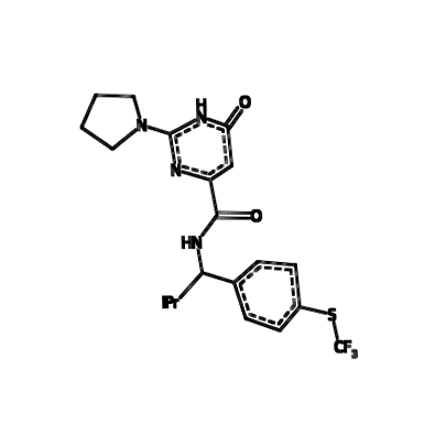 CC(C)C(NC(=O)c1cc(=O)[nH]c(N2CCCC2)n1)c1ccc(SC(F)(F)F)cc1